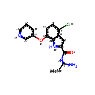 CNC(N)=NC(=O)c1cc2c(Cl)ccc(Oc3cccnc3)c2[nH]1